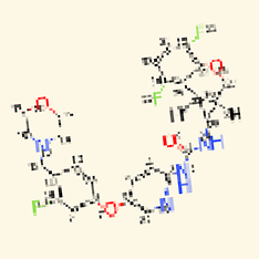 O=C(Nc1ccc(Oc2ccc(CN3CCOCC3)c(F)c2)cn1)N[C@@H]1[C@@H]2COc3c(F)ccc(F)c3[C@@H]21